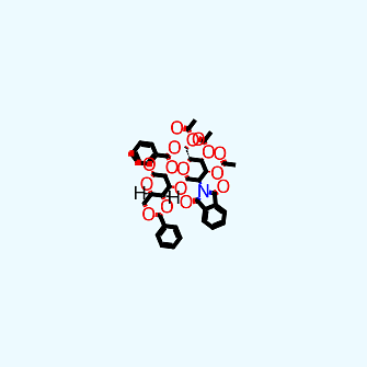 CCO[C@@H]1O[C@@H]2COC(c3ccccc3)O[C@@H]2[C@H](O[C@@H]2O[C@H](COC(C)=O)[C@@H](OC(C)=O)[C@H](OC(C)=O)[C@H]2N2C(=O)c3ccccc3C2=O)[C@H]1OC(=O)c1ccccc1